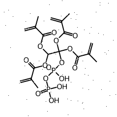 C=C(C)C(=O)OC(OC(=O)C(=C)C)C(OC(=O)C(=C)C)(OC(=O)C(=C)C)OP(=O)(O)OP(=O)(O)O